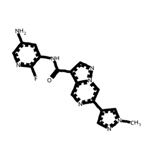 Cn1cc(-c2cn3ncc(C(=O)Nc4cc(N)cnc4F)c3cn2)cn1